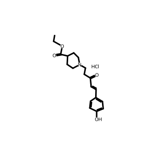 CCOC(=O)C1CCN(CCC(=O)C=Cc2ccc(O)cc2)CC1.Cl